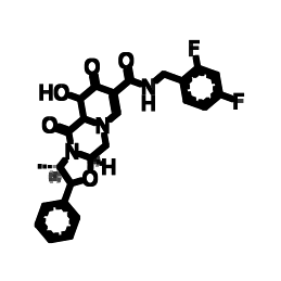 C[C@H]1C(c2ccccc2)O[C@@H]2CN3C=C(C(=O)NCc4ccc(F)cc4F)C(=O)C(O)C3C(=O)N21